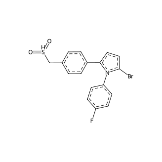 O=[SH](=O)Cc1ccc(-c2ccc(Br)n2-c2ccc(F)cc2)cc1